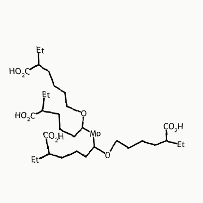 CCC(CCCCO[CH](CCCC(CC)C(=O)O)[Mo][CH](CCCC(CC)C(=O)O)OCCCCC(CC)C(=O)O)C(=O)O